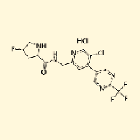 Cl.O=C(NCc1cc(-c2cnc(C(F)(F)F)nc2)c(Cl)cn1)C1CC(F)CN1